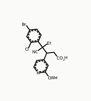 CCC(C#N)(c1ccc(Br)cc1Cl)C(CC(=O)O)c1ccnc(OC)c1